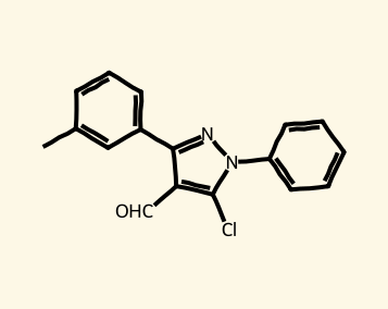 Cc1cccc(-c2nn(-c3ccccc3)c(Cl)c2C=O)c1